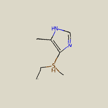 [CH2]C[SH](C)c1nc[nH]c1C